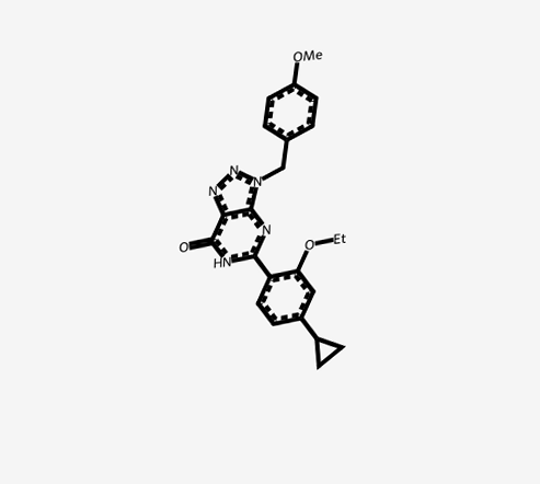 CCOc1cc(C2CC2)ccc1-c1nc2c(nnn2Cc2ccc(OC)cc2)c(=O)[nH]1